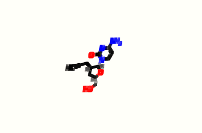 C#CC[C@@H]1C[C@@H](CO)O[C@H]1n1ccc(N)nc1=O